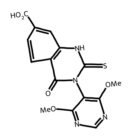 COc1ncnc(OC)c1-n1c(=S)[nH]c2cc(C(=O)O)ccc2c1=O